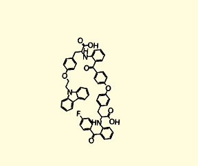 O=C(c1ccc(F)cc1)c1ccccc1NC(Cc1ccc(Oc2ccc(C(=O)c3ccccc3NC(Cc3ccc(OCCn4c5ccccc5c5ccccc54)cc3)C(=O)O)cc2)cc1)C(=O)O